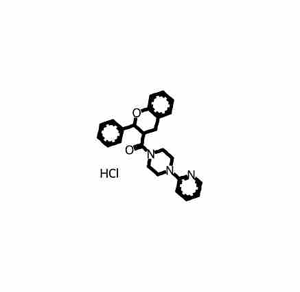 Cl.O=C(C1Cc2ccccc2OC1c1ccccc1)N1CCN(c2ccccn2)CC1